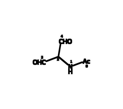 CC(=O)NC(C=O)C=O